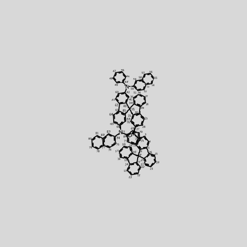 O=C(c1ccc2c(c1)C1(c3ccccc3-c3ccccc31)c1ccccc1-2)c1ccc2c(c1)C1(c3ccccc3-2)c2cc(N(c3ccccc3)c3ccc4ccccc4c3)ccc2-c2ccc(N(c3ccccc3)c3ccc4ccccc4c3)cc21